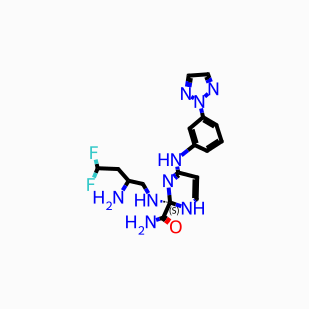 NC(=O)[C@@]1(NCC(N)CC(F)F)N=C(Nc2cccc(-n3nccn3)c2)C=CN1